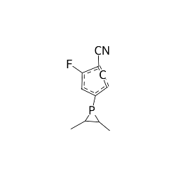 CC1C(C)P1c1ccc(C#N)c(F)c1